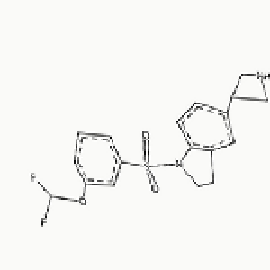 O=S(=O)(c1cccc(OC(F)F)c1)N1CCc2cc(C3CNC3)ccc21